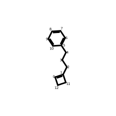 C1=C(CCCc2ccccc2)CC1